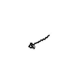 CCCCCCCCCCCCCCCc1ccc2cc(C)ccc(OC)c1-2